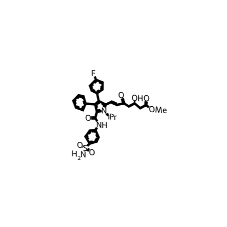 COC(=O)C[C@H](O)CC(=O)C=Cc1c(-c2ccc(F)cc2)c(-c2ccccc2)c(C(=O)Nc2ccc(S(N)(=O)=O)cc2)n1C(C)C